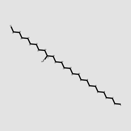 CCCCCCCCCCCCCCCCC[C](F)CCCCCCCCC